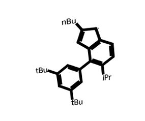 CCCCC1=Cc2c(ccc(C(C)C)c2-c2cc(C(C)(C)C)cc(C(C)(C)C)c2)[CH]1